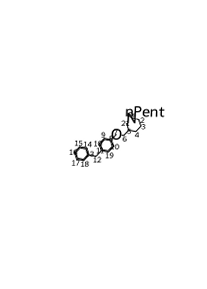 CCCCCN1CCCC(COc2ccc(Cc3ccccc3)cc2)C1